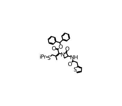 CC(CSC(C)C)=C(C(=O)OC(c1ccccc1)c1ccccc1)N1CC(NC(=O)Cc2cccs2)C1=O